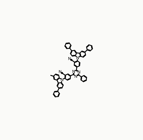 Cc1ccc2c(c1)c1cc(-c3ccccc3)ccc1n2-c1ccc(-c2nc(-c3ccccc3)nc(-c3ccc(-n4c5ccc(-c6ccccc6)cc5c5cc(-c6ccccc6)ccc54)c(C#N)c3)n2)cc1C#N